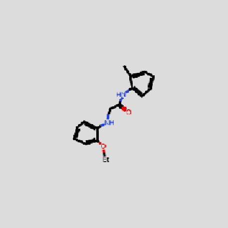 CCOc1ccccc1NCC(=O)Nc1ccccc1C